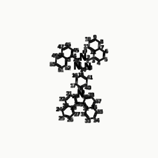 CN1C(c2cccc3ccccc23)=NC(c2ccc(-n3c4ccc5ccccc5c4c4c5ccccc5ccc43)cc2)=NC1c1cccc2ccccc12